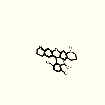 O=C(O)c1c(Cl)ccc(Cl)c1C1=c2cc3c(cc2Oc2cc4c(cc21)CCCN4)=NCCC3